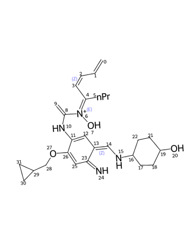 C=C/C=C\C(CCC)=[N+](\O)C(=C)NC1=C/C(=C/NC2CCC(O)CC2)C(=N)C=C1OCC1CC1